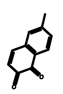 Cc1ccc2c(c1)C=CC(=O)C2=O